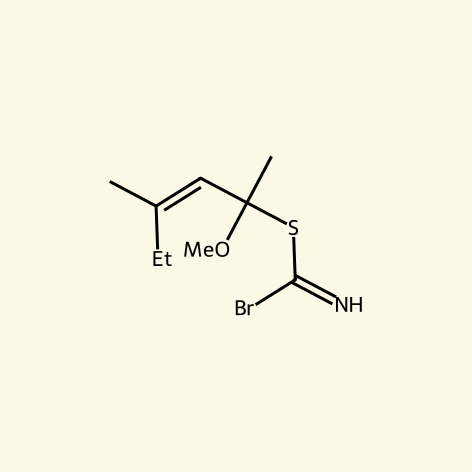 CC/C(C)=C\C(C)(OC)SC(=N)Br